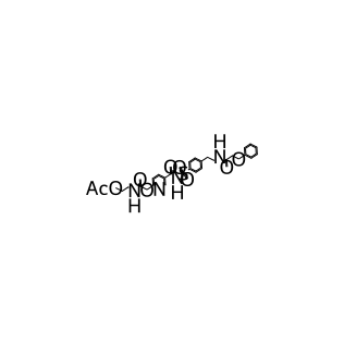 CC(=O)OCCNC(=O)Oc1ccc(C(=O)NS(=O)(=O)c2ccc(CCNC(=O)COc3ccccc3)cc2)cn1